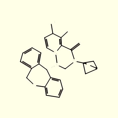 O=C1C2=C(O)C(O)C=CN2N([C@H]2c3ccccc3CSc3ccccc32)CN1C12CC(C1)C2